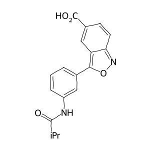 CC(C)C(=O)Nc1cccc(-c2onc3ccc(C(=O)O)cc23)c1